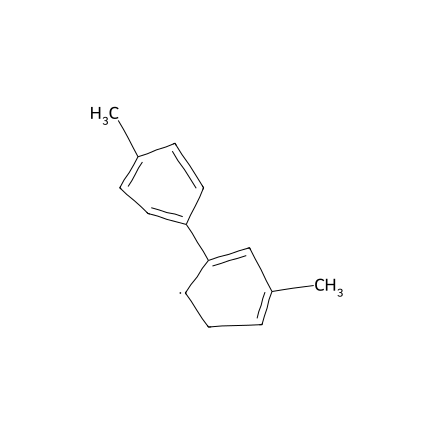 CC1=CC[CH]C(c2ccc(C)cc2)=C1